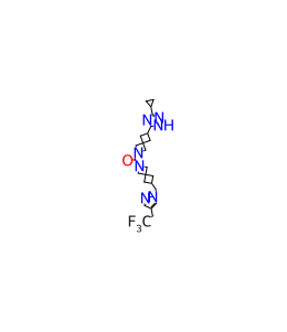 O=C(N1CC2(CC(Cn3cc(CC(F)(F)F)cn3)C2)C1)N1CC2(CC(c3nc(C4CC4)n[nH]3)C2)C1